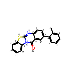 Cc1ccccc1-c1ccc2nc3sc4ccccc4n3c(=O)c2c1